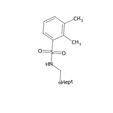 CCCCCCCCNS(=O)(=O)c1cccc(C)c1C